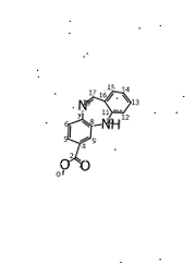 COC(=O)c1ccc2c(c1)Nc1ccccc1C=N2